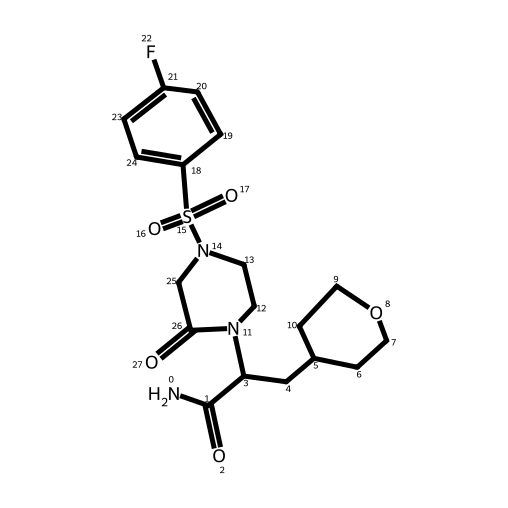 NC(=O)C(CC1CCOCC1)N1CCN(S(=O)(=O)c2ccc(F)cc2)CC1=O